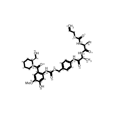 C=CCOC(=O)N[C@H](C(=O)N[C@@H](C)C(=O)Nc1ccc(COC(=O)Nc2cc(O)c(OC)cc2C(=O)N2CCCC[C@H]2CO)cc1)C(C)C